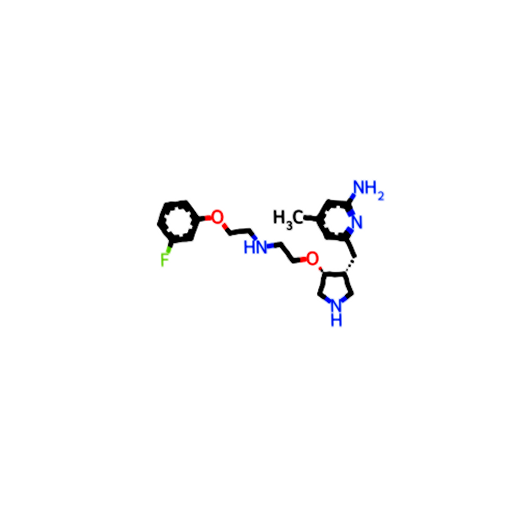 Cc1cc(N)nc(C[C@@H]2CNC[C@@H]2OCCNCCOc2cccc(F)c2)c1